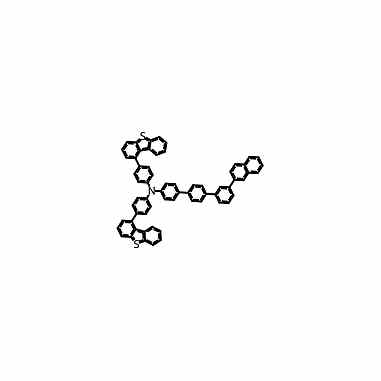 c1cc(-c2ccc(-c3ccc(N(c4ccc(-c5cccc6sc7ccccc7c56)cc4)c4ccc(-c5cccc6sc7ccccc7c56)cc4)cc3)cc2)cc(-c2ccc3ccccc3c2)c1